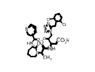 CC(C(=O)NC(CC(=O)O)C(=O)Cn1nnnc1Cc1c(Cl)cccc1Cl)N1CCCC[C@H](NC(=O)c2cccnc2)C1=O